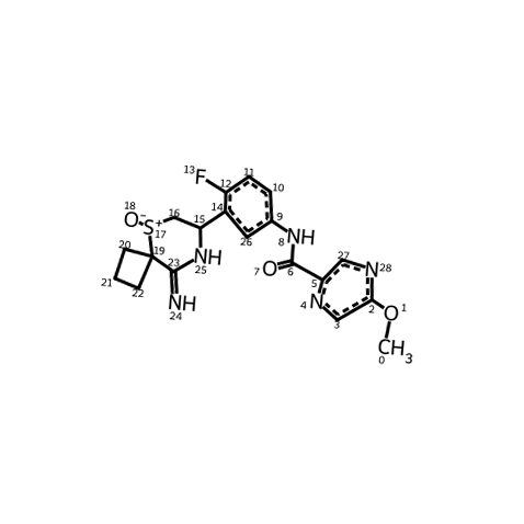 COc1cnc(C(=O)Nc2ccc(F)c(C3C[S+]([O-])C4(CCC4)C(=N)N3)c2)cn1